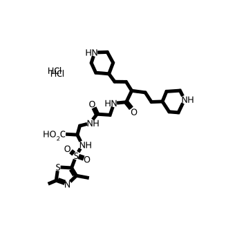 Cc1nc(C)c(S(=O)(=O)NC(CNC(=O)CNC(=O)C(CCC2CCNCC2)CCC2CCNCC2)C(=O)O)s1.Cl.Cl